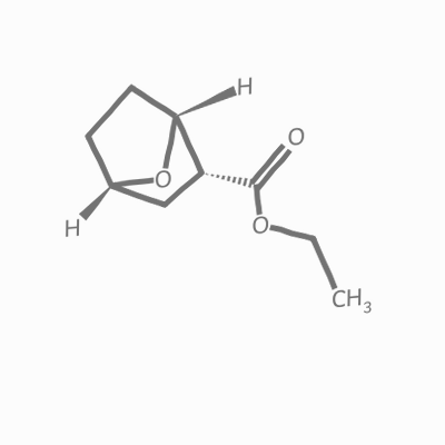 CCOC(=O)[C@@H]1C[C@@H]2CC[C@H]1O2